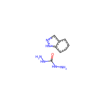 NNC(=O)NN.c1ccc2[nH]ncc2c1